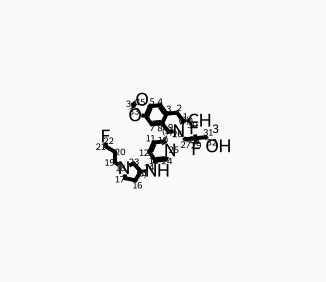 C[C@@H]1Cc2cc3c(cc2[C@@H](c2ccc(N[C@H]4CCN(CCCF)C4)cn2)N1CC(F)(F)CO)OCO3